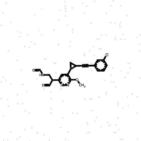 COc1nnc(C(C=O)CNC=O)cc1C1CC1C#Cc1cccc(Cl)c1